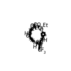 C=C1COc2ccc(cc2)CNc2nc(nc(OCC(F)(F)F)n2)Nc2ccc(cc2)C(=O)NCC(C)(C)CN(C(=O)C(=O)OCC)C1